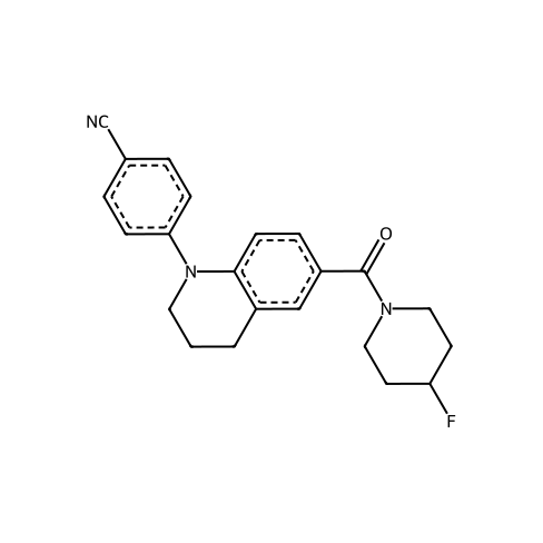 N#Cc1ccc(N2CCCc3cc(C(=O)N4CCC(F)CC4)ccc32)cc1